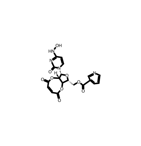 O=C1/C=C\C(=O)O[C@H]2C(O1)[C@@H](COC(=O)c1cccnc1)O[C@H]2n1ccc(NO)nc1=O